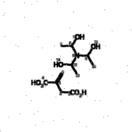 C=C(CC(=O)O)C(=O)O.CC(O)N(C(C)O)C(C)O